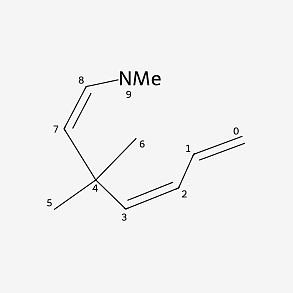 C=C/C=C\C(C)(C)/C=C\NC